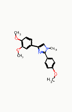 COc1ccc(-c2nc(-c3ccc(OC)c(OC)c3)cn2C)cc1